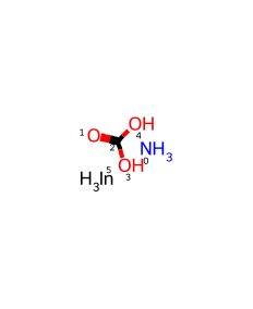 N.O=C(O)O.[InH3]